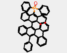 O=P(c1ccccc1)(c1ccccc1)c1c2ccccc2c(-c2c3ccccc3c(-c3ccccc3)c3c4ccccc4c4ccccc4c23)c2ccccc12